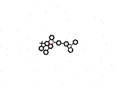 CC1(C)c2ccccc2-c2ccc(-c3ccccc3N(c3ccc(-c4ccccc4)cc3)c3ccc(-c4ccc5c(c4)C4C=CC=CC4N5c4ccccc4)cc3)cc21